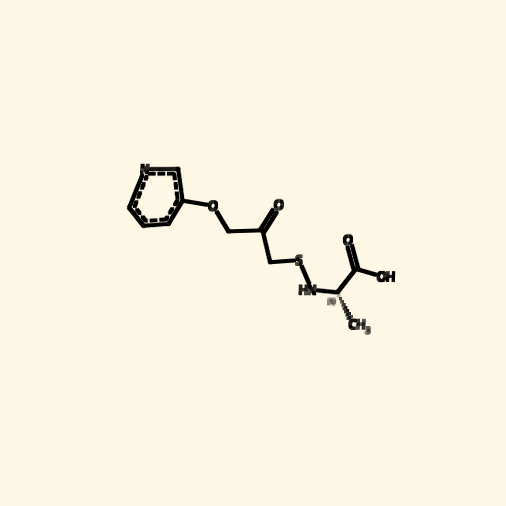 C[C@H](NSCC(=O)COc1cccnc1)C(=O)O